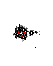 Fc1c(F)c(F)c2c([B-](c3c(F)c(F)c(F)c4c(F)c(F)c(F)c(F)c34)(c3c(F)c(F)c(F)c4c(F)c(F)c(F)c(F)c34)c3c(F)c(F)c(F)c4c(F)c(F)c(F)c(F)c34)c(F)c(F)c(F)c2c1F.[NH3+]c1ccccc1